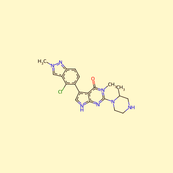 CC1CNCCN1c1nc2[nH]cc(-c3ccc4nn(C)cc4c3Cl)c2c(=O)n1C